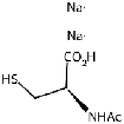 CC(=O)N[C@@H](CS)C(=O)O.[Na].[Na]